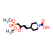 COP(=O)(CC(=O)/C=C/C1CCN(C(=O)O)CC1)OC